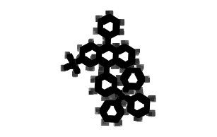 C[Si](C)(C)c1ccc2c(-c3ccccc3)c3ccccc3c(-c3cccc([Si](c4ccccc4)(c4ccccc4)c4ccccc4)c3)c2c1